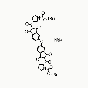 CC(C)(C)OC(=O)N1CC[C@@H](C(=O)C2C(=O)c3ccc(Oc4ccc5c(c4)C(=O)C(C(=O)[C@H]4CCCN4C(=O)OC(C)(C)C)C5=O)cc3C2=O)C1.[Na].[Na]